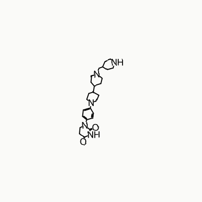 O=C1CCN(c2ccc(N3CCC(C4CCN(CC5CCNCC5)CC4)CC3)cc2)C(=O)N1